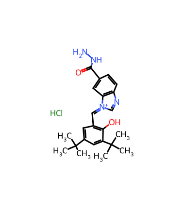 CC(C)(C)c1cc(C=[N+]2C=Nc3ccc(C(=O)NN)cc32)c(O)c(C(C)(C)C)c1.Cl